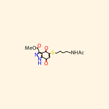 COC(=O)c1n[nH]c2c1C(=O)C(SCCCCCNC(C)=O)=CC2=O